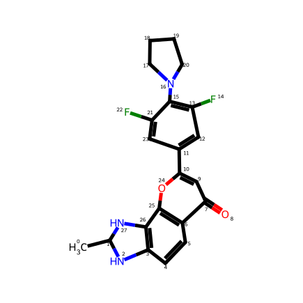 CC1Nc2ccc3c(=O)cc(-c4cc(F)c(N5CCCC5)c(F)c4)oc3c2N1